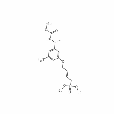 CCOP(=O)(C/C=C/COc1cc(N)cc([C@@H](C)NC(=O)OC(C)(C)C)c1)OCC